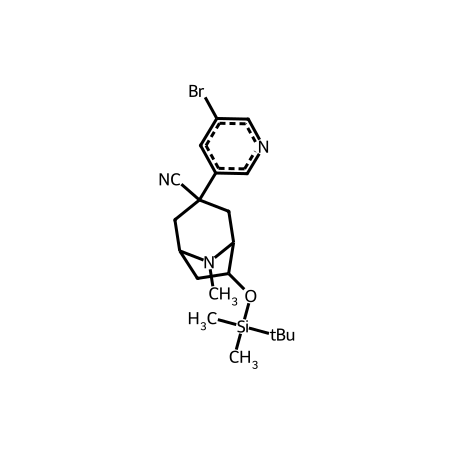 CN1C2CC(O[Si](C)(C)C(C)(C)C)C1CC(C#N)(c1cncc(Br)c1)C2